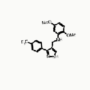 COc1ccc(OC)c(NCc2c[nH]nc2-c2ccc(C(F)(F)F)cc2)c1